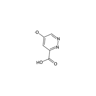 [O]c1cnnc(C(=O)O)c1